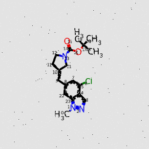 Cn1ncc2c(Cl)cc(C=C3CCN(C(=O)OC(C)(C)C)C3)cc21